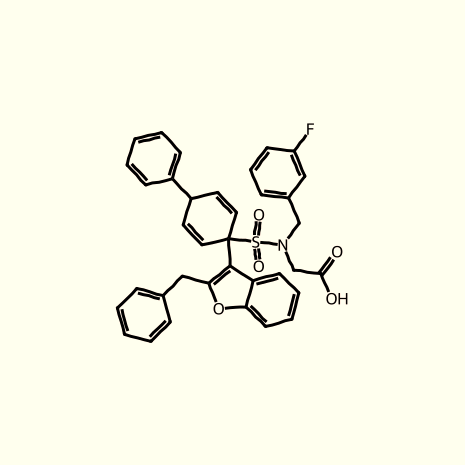 O=C(O)CN(Cc1cccc(F)c1)S(=O)(=O)C1(c2c(Cc3ccccc3)oc3ccccc23)C=CC(c2ccccc2)C=C1